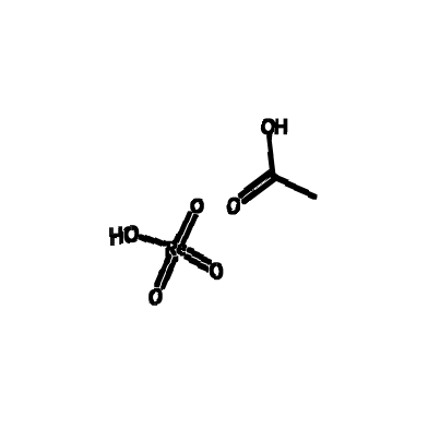 CC(=O)O.[O]=[Re](=[O])(=[O])[OH]